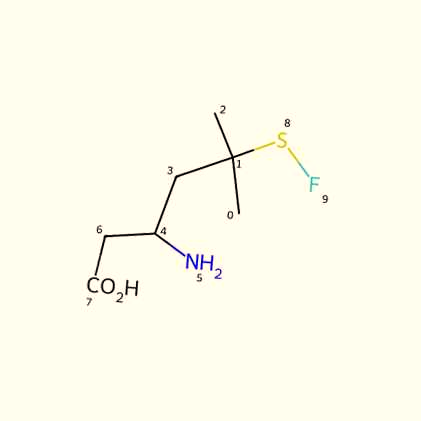 CC(C)(CC(N)CC(=O)O)SF